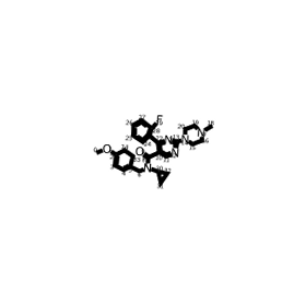 COC1=CC=C(CN(C(=O)c2cnc(N3CCN(C)CC3)nc2-c2ccccc2F)C2CC2)CC1